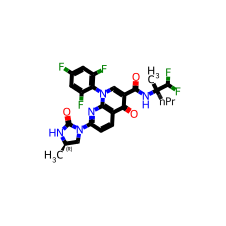 CCCC(C)(NC(=O)c1cn(-c2c(F)cc(F)cc2F)c2nc(N3C[C@@H](C)NC3=O)ccc2c1=O)C(F)F